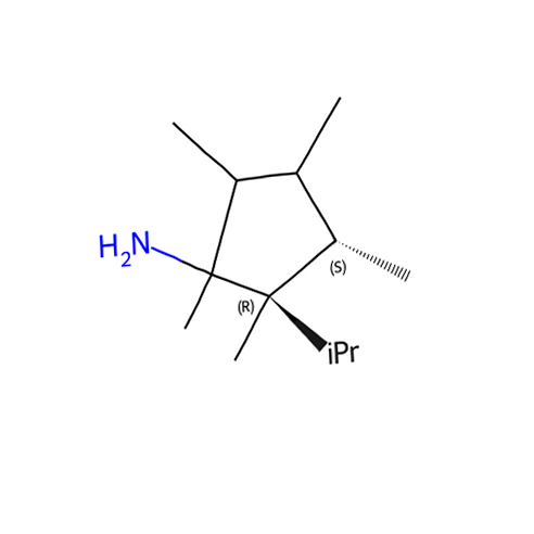 CC1C(C)C(C)(N)[C@](C)(C(C)C)[C@H]1C